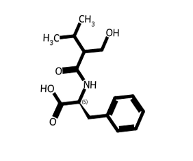 CC(C)C(CO)C(=O)N[C@@H](Cc1ccccc1)C(=O)O